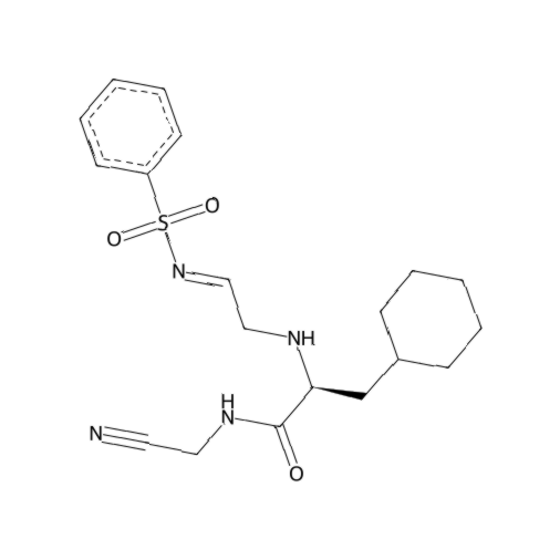 N#CCNC(=O)[C@H](CC1CCCCC1)NCC=NS(=O)(=O)c1ccccc1